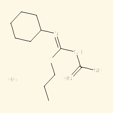 Br.CCCSC(=NC1CCCCC1)NC(=N)N